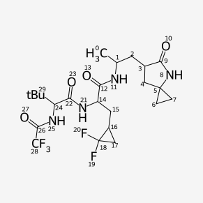 CC(CC1CC2(CC2)NC1=O)NC(=O)C(CC1CC1(F)F)NC(=O)C(NC(=O)C(F)(F)F)C(C)(C)C